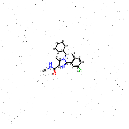 CCCCNC(=O)c1nc(-c2cc(Cl)ccc2C)n(CC2CCCCC2)c1C